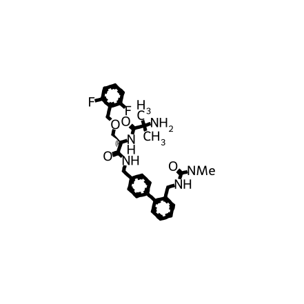 CNC(=O)NCc1ccccc1-c1ccc(CNC(=O)[C@@H](COCc2c(F)cccc2F)NC(=O)C(C)(C)N)cc1